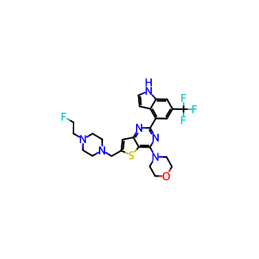 FCCN1CCN(Cc2cc3nc(-c4cc(C(F)(F)F)cc5[nH]ccc45)nc(N4CCOCC4)c3s2)CC1